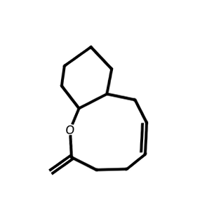 C=C1CC/C=C\CC2CCCCC2O1